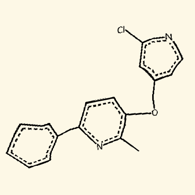 Cc1nc(-c2ccccc2)ccc1Oc1ccnc(Cl)c1